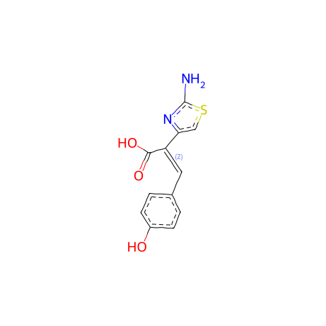 Nc1nc(/C(=C/c2ccc(O)cc2)C(=O)O)cs1